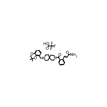 CC1(C)COc2cccc(CN3CCC4(CC3)CCN(C(=O)c3ccccc3/C=C/C(N)=O)CC4)c2O1.O=C(O)C(F)(F)F